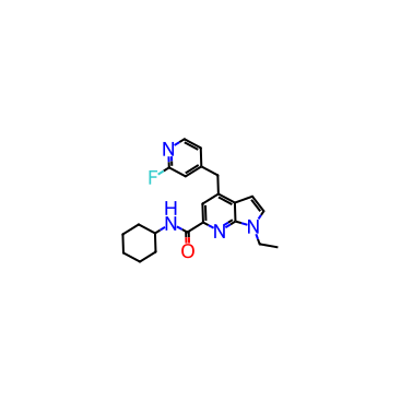 CCn1ccc2c(Cc3ccnc(F)c3)cc(C(=O)NC3CCCCC3)nc21